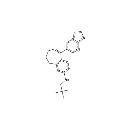 CC(C)(F)CNc1ncc2c(n1)CCCC=C2c1cnc2nccn2c1